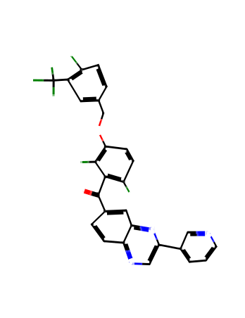 O=C(c1ccc2ncc(-c3cccnc3)nc2c1)c1c(F)ccc(OCc2ccc(Cl)c(C(F)(F)F)c2)c1Cl